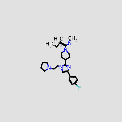 C=N/C(=C(\C)CC)N1CCC(c2nc(-c3ccc(F)cc3)cn2CCN2CCCC2)CC1